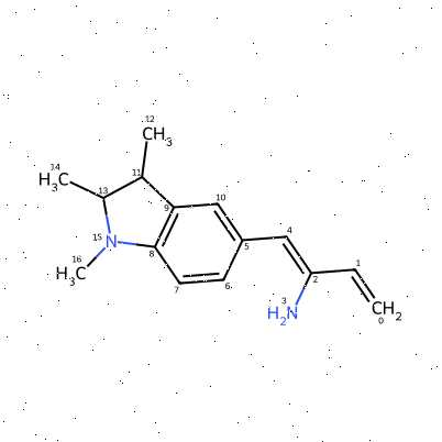 C=C/C(N)=C/c1ccc2c(c1)C(C)C(C)N2C